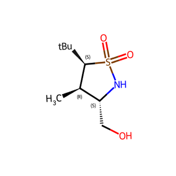 C[C@@H]1[C@@H](CO)NS(=O)(=O)[C@@H]1C(C)(C)C